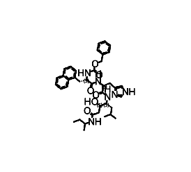 CCC(C)NC(=O)C[C@H](O)[C@H](CC(C)C)NC(=O)[C@H](Cc1c[nH]cn1)NC(=O)[C@H](Cc1cccc2ccccc12)NC(=O)OCc1ccccc1